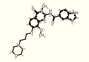 COc1c(OCCCN2CCOCC2)ccc2c(=O)n(C)c(NC(=O)c3ccc4[nH]cnc4c3)nc12